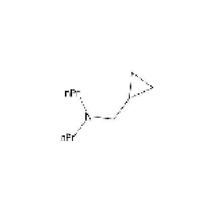 CCCN(CCC)CC1CC1